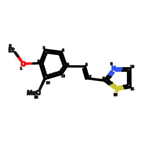 CCOc1ccc(C=Cc2nccs2)cc1OC